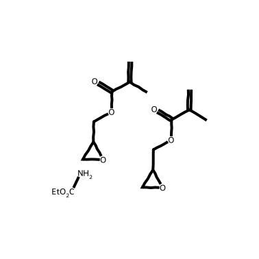 C=C(C)C(=O)OCC1CO1.C=C(C)C(=O)OCC1CO1.CCOC(N)=O